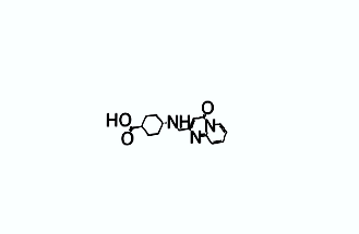 O=c1cc(CN[C@H]2CC[C@H](C(=O)O)CC2)nc2ccccn12